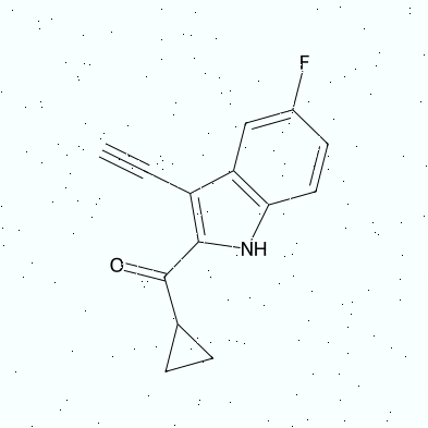 C#Cc1c(C(=O)C2CC2)[nH]c2ccc(F)cc12